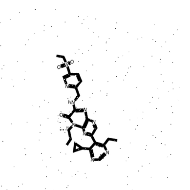 CCc1ncnc(C2CC2)c1-c1cnc2nc(NCc3ccc(S(=O)(=O)CC)cn3)c(=O)n([C@@H](C)CC)c2n1